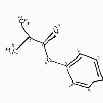 CC(C(=O)Oc1ccccc1)C(F)(F)F